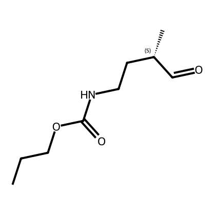 CCCOC(=O)NCC[C@H](C)C=O